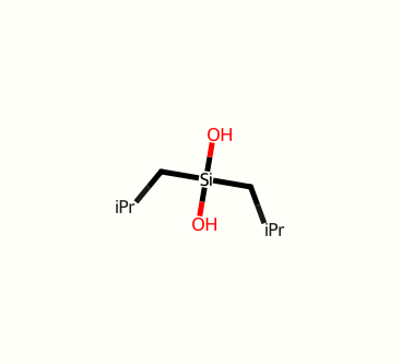 CC(C)C[Si](O)(O)CC(C)C